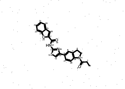 CCC(=O)N1CCc2cc(-c3csc(NC(=O)c4cc5ccccc5o4)n3)ccc21